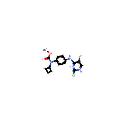 CC(C)(C)OC(=O)N(c1ccc(Nc2nc(Cl)ncc2I)cc1)C1CCC1